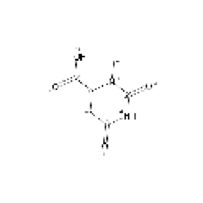 CN1C(=O)NC(=O)CC1C(=O)O